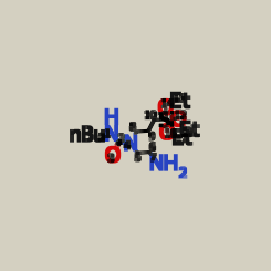 CCCCNC(=O)N(CCN)CCC[Si](OCC)(OCC)OCC